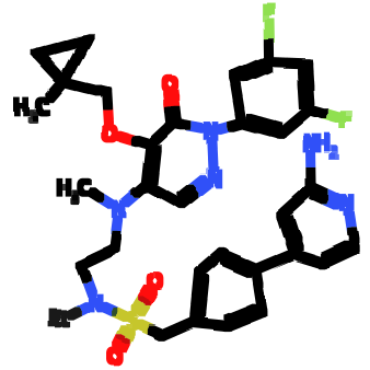 CCN(CCN(C)c1cnn(-c2cc(F)cc(F)c2)c(=O)c1OCC1(C)CC1)S(=O)(=O)Cc1ccc(-c2ccnc(N)c2)cc1